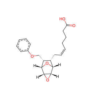 O=C(O)CCC/C=C\C[C@H]1[C@@H](COc2ccccc2)[C@@H]2O[C@H]1[C@@H]1O[C@@H]12